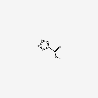 COC(=O)c1[c]n[nH]c1